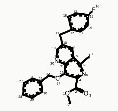 COC(=O)c1nc(I)c2cc(Cc3ccc(F)cc3)cnc2c1OCc1ccccc1